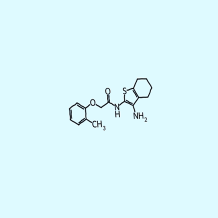 Cc1ccccc1OCC(=O)Nc1sc2c(c1N)CCCC2